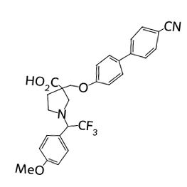 COc1ccc(C(N2CCC(COc3ccc(-c4ccc(C#N)cc4)cc3)(C(=O)O)C2)C(F)(F)F)cc1